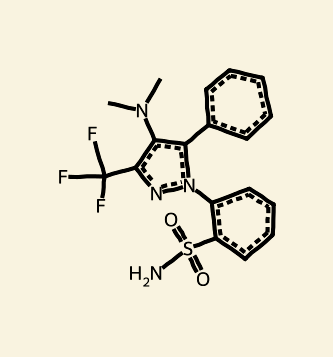 CN(C)c1c(C(F)(F)F)nn(-c2ccccc2S(N)(=O)=O)c1-c1ccccc1